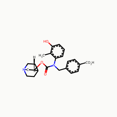 Cc1c(O)cccc1N(Cc1ccc(C(=O)O)cc1)C(=O)O[C@H]1CN2CCC1CC2